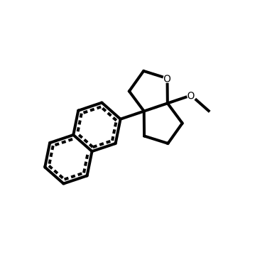 COC12CCCC1(c1ccc3ccccc3c1)CCO2